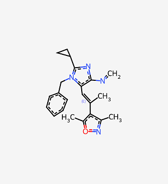 C=Nc1nc(C2CC2)n(Cc2ccccc2)c1/C=C(\C)c1c(C)noc1C